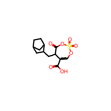 O=C(O)C1=COS(=O)(=O)OC(=O)C1CC1CC2CCC1C2